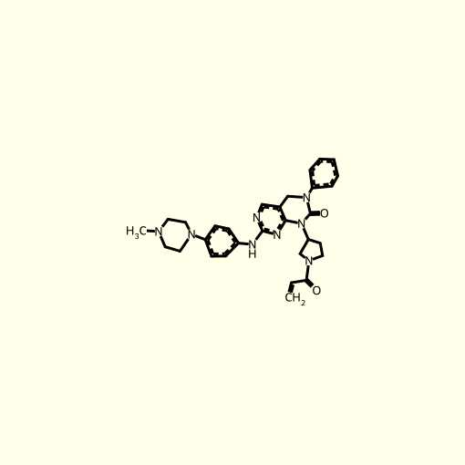 C=CC(=O)N1CCC(N2C(=O)N(c3ccccc3)Cc3cnc(Nc4ccc(N5CCN(C)CC5)cc4)nc32)C1